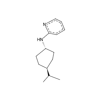 CC(C)[C@H]1CC[C@H](Nc2ccccn2)CC1